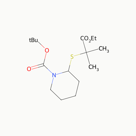 CCOC(=O)C(C)(C)SC1CCCCN1C(=O)OC(C)(C)C